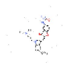 COc1ccc2c(c1)c(C=C1Oc3ccc(NC(N)=O)cc3C1=O)cn2CCCN(C)C